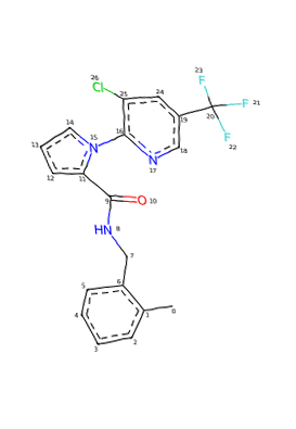 Cc1ccccc1CNC(=O)c1cccn1-c1ncc(C(F)(F)F)cc1Cl